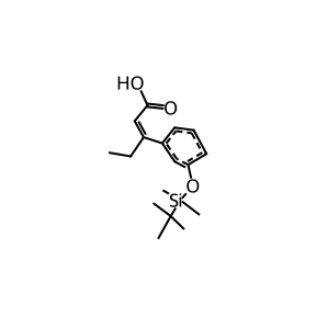 CC/C(=C/C(=O)O)c1cccc(O[Si](C)(C)C(C)(C)C)c1